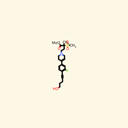 COC(=O)C(C)(CCN1CC=C(c2ccc(C#CCCCO)c(F)c2)CC1)S(C)(=O)=O